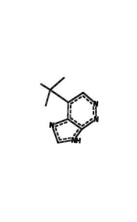 CC(C)(C)c1cnnc2[nH]cnc12